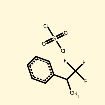 CC(c1ccccc1)C(F)(F)F.O=S(=O)(Cl)Cl